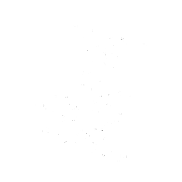 CC(C)(C)c1ccc(N(c2ccc(C(C)(C)C)cc2)c2ccc3c(c2)oc2cc4c(cc23)-c2c3c5c(c6cc(C(C)(C)C)ccc6n5-c5ccc(C(C)(C)C)cc5[SH]3N4c3ccc(C(C)(C)C)cc3)c3oc4ccccc4c23)cc1